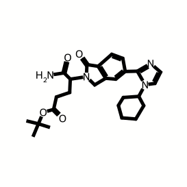 CC(C)(C)OC(=O)CCC(C(N)=O)N1Cc2cc(-c3nccn3C3CCCCC3)ccc2C1=O